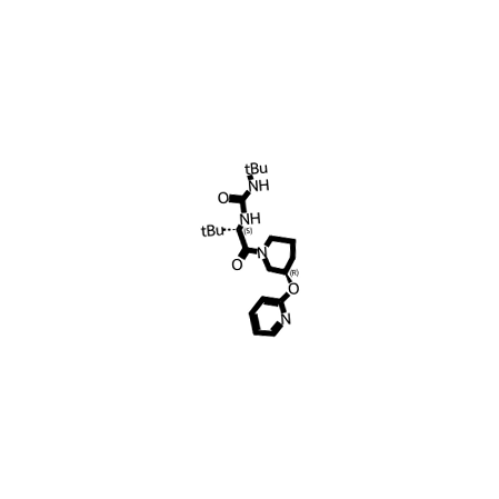 CC(C)(C)NC(=O)N[C@H](C(=O)N1CCC[C@@H](Oc2ccccn2)C1)C(C)(C)C